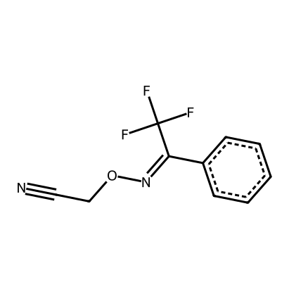 N#CCON=C(c1ccccc1)C(F)(F)F